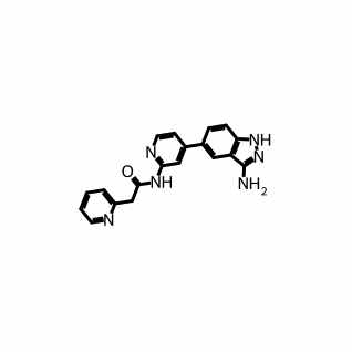 Nc1n[nH]c2ccc(-c3ccnc(NC(=O)Cc4ccccn4)c3)cc12